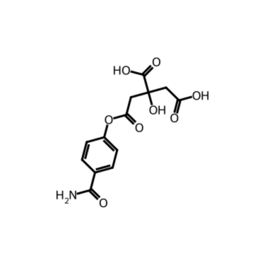 NC(=O)c1ccc(OC(=O)CC(O)(CC(=O)O)C(=O)O)cc1